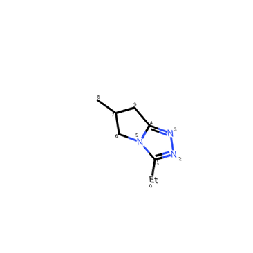 CCc1nnc2n1CC(C)C2